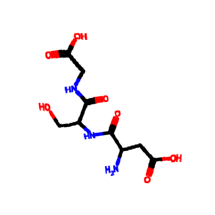 NC(CC(=O)O)C(=O)NC(CO)C(=O)NCC(=O)O